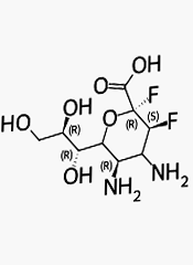 NC1[C@@H](N)C([C@H](O)[C@H](O)CO)O[C@@](F)(C(=O)O)[C@H]1F